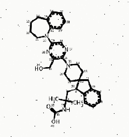 CC(C)(C[C@@H]1c2ccccc2CC12CCN(c1ncc(N3CCCCc4ccccc43)nc1CO)CC2)NC(=O)O